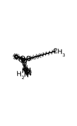 CCCCCCCCCCCCCCCCCCOCCO[P@@](=O)(COCCn1cnc2c(N)ncnc21)OCc1ccccc1